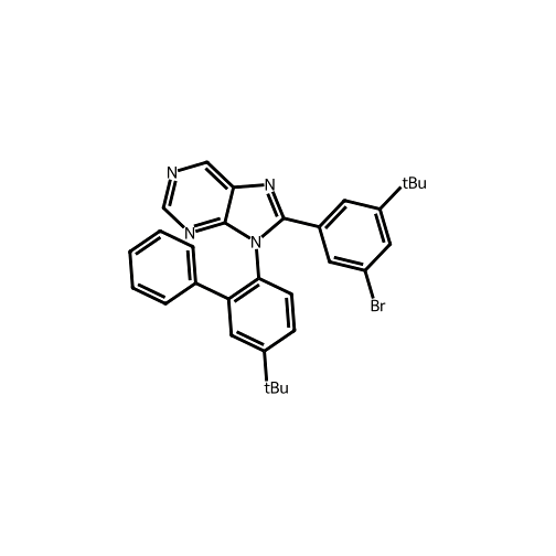 CC(C)(C)c1cc(Br)cc(-c2nc3cncnc3n2-c2ccc(C(C)(C)C)cc2-c2ccccc2)c1